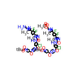 Cc1c(-c2ccc(-c3cnc(C(=O)Nc4ccc(C(=O)N5CCN(C(=O)C6CCN(C(=O)OC(C)(C)C)CC6)CC5)c(Cl)c4)n3C)c(F)c2F)cnn1CCN.Cc1c(-c2ccc(-c3cnc(C(=O)Nc4ccc(C(=O)N5CCN(C(=O)C6CCN(C(=O)OC(C)(C)C)CC6)CC5)c(Cl)c4)n3C)c(F)c2F)cnn1CCOS(C)(=O)=O